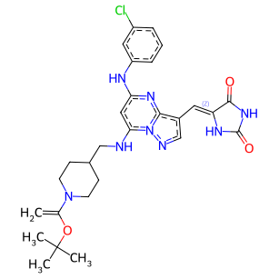 C=C(OC(C)(C)C)N1CCC(CNc2cc(Nc3cccc(Cl)c3)nc3c(/C=C4\NC(=O)NC4=O)cnn23)CC1